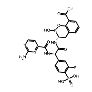 Nc1nccc(C(=O)N[C@@H](C(=O)N[C@H]2Cc3cccc(C(=O)O)c3OB2O)c2ccc(P(=O)(O)O)c(F)c2)n1